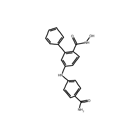 NC(=O)c1ccc(Nc2ccc(C(=O)NO)c(-c3ccccc3)c2)cc1